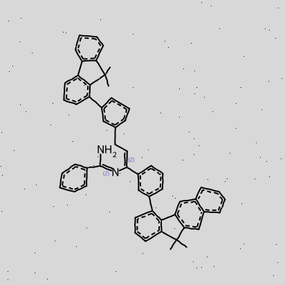 CC1(C)c2cc3ccccc3cc2-c2c(-c3cccc(C(=C/Cc4cccc(-c5cccc6c5C(C)(C)c5ccccc5-6)c4)/N=C(\N)c4ccccc4)c3)cccc21